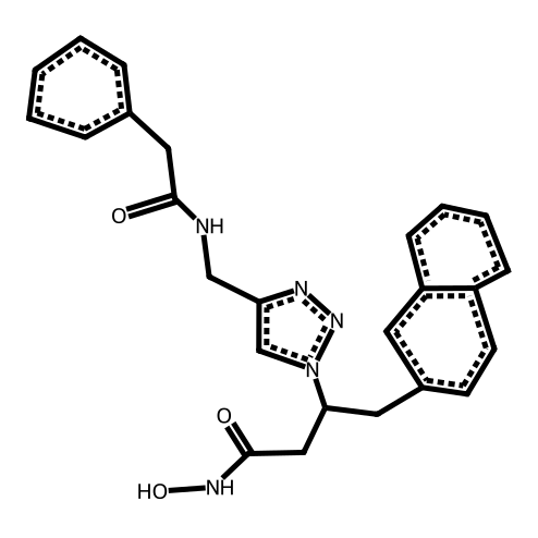 O=C(CC(Cc1ccc2ccccc2c1)n1cc(CNC(=O)Cc2ccccc2)nn1)NO